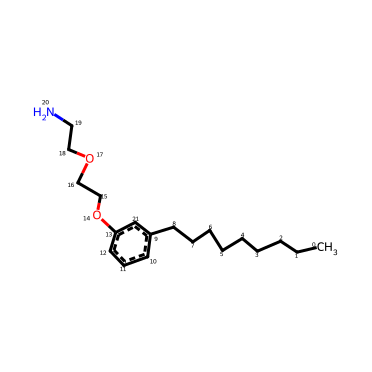 CCCCCCCCCc1cccc(OCCOCCN)c1